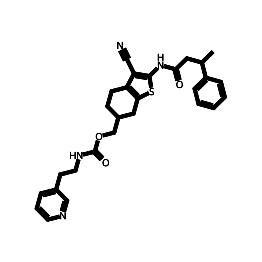 CC(CC(=O)Nc1sc2c(c1C#N)CCC(COC(=O)NCCc1cccnc1)C2)c1ccccc1